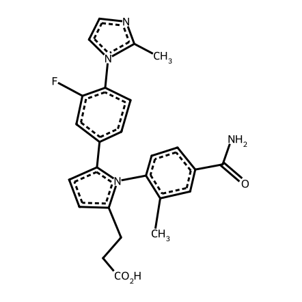 Cc1cc(C(N)=O)ccc1-n1c(CCC(=O)O)ccc1-c1ccc(-n2ccnc2C)c(F)c1